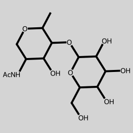 CC(=O)NC1COC(C)C(OC2OC(CO)C(O)C(O)C2O)C1O